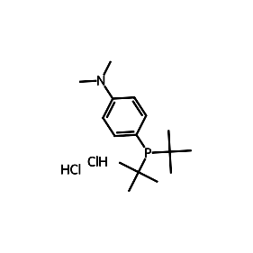 CN(C)c1ccc(P(C(C)(C)C)C(C)(C)C)cc1.Cl.Cl